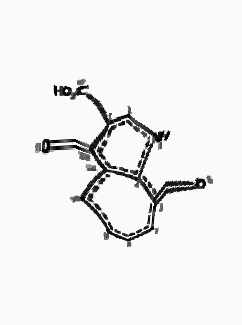 O=C(O)c1c[nH]c2c(=O)ccccc2c1=O